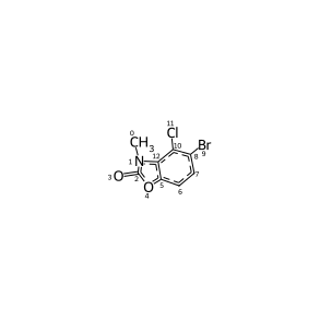 Cn1c(=O)oc2ccc(Br)c(Cl)c21